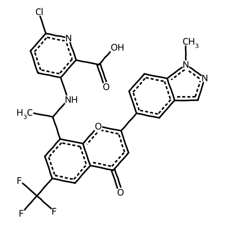 CC(Nc1ccc(Cl)nc1C(=O)O)c1cc(C(F)(F)F)cc2c(=O)cc(-c3ccc4c(cnn4C)c3)oc12